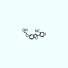 N#Cc1cnccc1-c1cc2cc(OCCO)ccc2o1